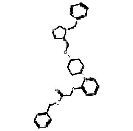 O=C(COc1ccccc1[C@H]1CC[C@@H](OCC2CCCN2Cc2ccccc2)CC1)OCc1ccccc1